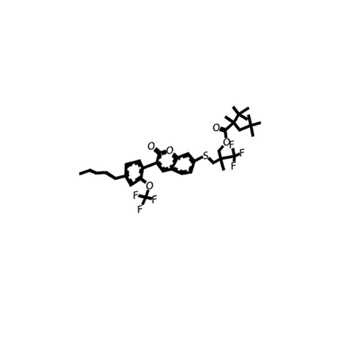 CCCCCc1ccc(-c2cc3ccc(SCC(C)(COC(=O)C(C)(CC(C)(C)C)C(C)(C)C)C(F)(F)F)cc3oc2=O)c(OC(F)(F)F)c1